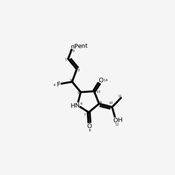 CCCCCC=CC(F)C1NC(=O)C(=C(C)O)C1=O